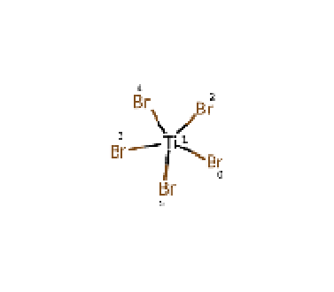 [Br][Ti]([Br])([Br])([Br])[Br]